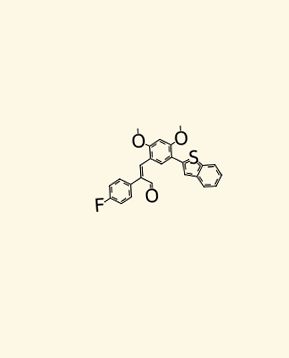 COc1cc(OC)c(-c2cc3ccccc3s2)cc1C=C(C=O)c1ccc(F)cc1